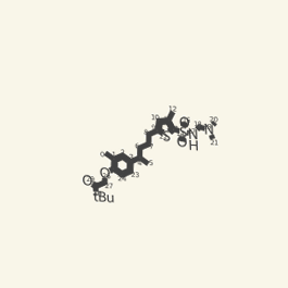 Cc1cc(C(C)CCCc2cc(C)c(S(=O)(=O)NCN(C)C)s2)ccc1OCC(=O)C(C)(C)C